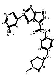 CN1CCC(Oc2ccc(NC(=O)c3n[nH]c4ccc(-c5cncc(N)c5)cc34)cc2)CC1